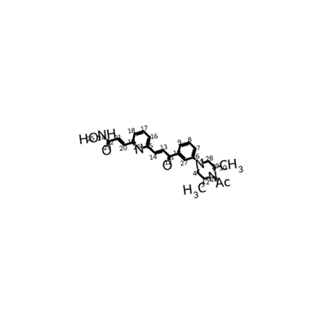 CC(=O)N1[C@H](C)CN(c2cccc(C(=O)/C=C/c3cccc(/C=C/C(=O)NO)n3)c2)C[C@@H]1C